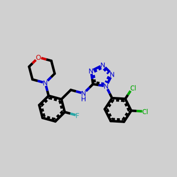 Fc1cccc(N2CCOCC2)c1CNc1nnnn1-c1cccc(Cl)c1Cl